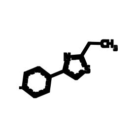 CCc1nc(-c2cc[c]cc2)cs1